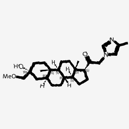 COC[C@@]1(O)CC[C@@]2(C)[C@@H](CC[C@@H]3[C@@H]2CC[C@]2(C)[C@@H](C(=O)Cn4cnc(C)c4)CC[C@@H]32)C1